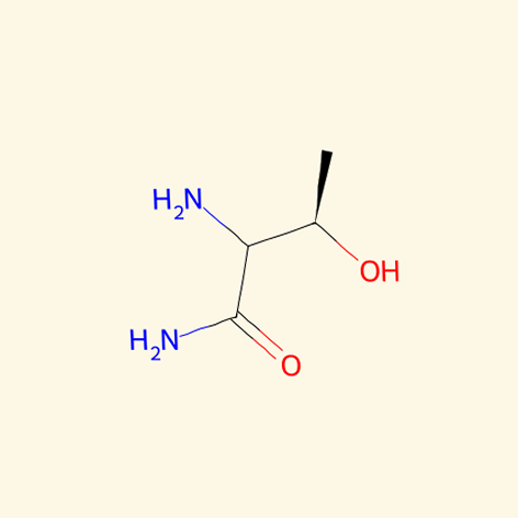 C[C@@H](O)C(N)C(N)=O